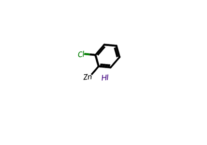 Clc1cccc[c]1[Zn].I